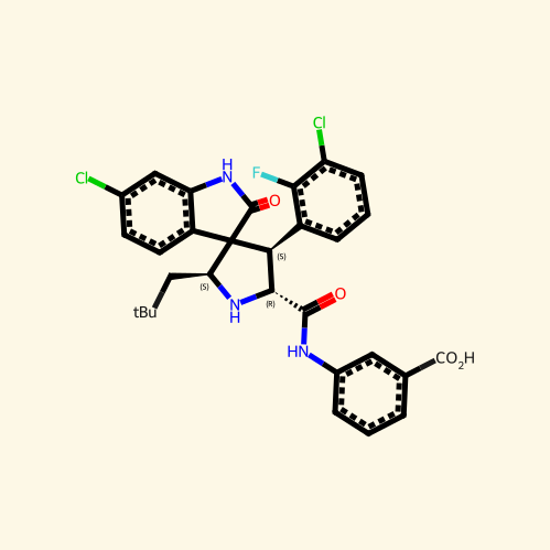 CC(C)(C)C[C@@H]1N[C@@H](C(=O)Nc2cccc(C(=O)O)c2)[C@H](c2cccc(Cl)c2F)C12C(=O)Nc1cc(Cl)ccc12